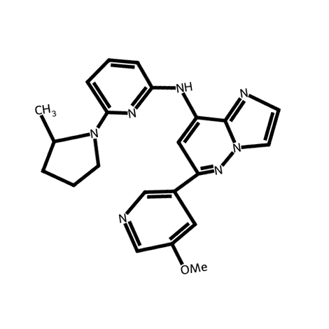 COc1cncc(-c2cc(Nc3cccc(N4CCCC4C)n3)c3nccn3n2)c1